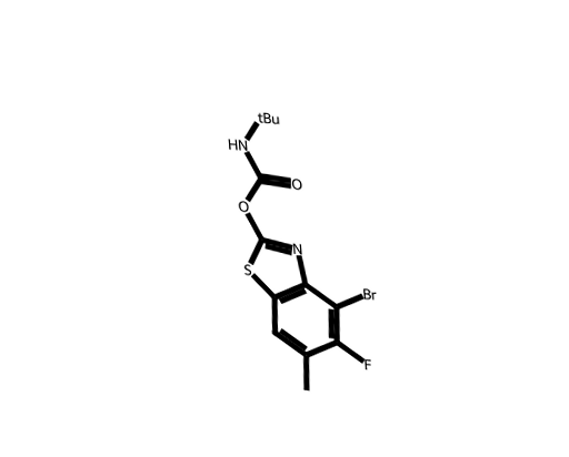 Cc1cc2sc(OC(=O)NC(C)(C)C)nc2c(Br)c1F